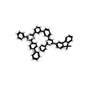 CC1(C)c2ccccc2-c2cc(-c3cc(-c4cccc(-c5cccc(-c6nc(-c7ccccc7)nc(-c7ccc(-c8ccccc8)cc7)n6)c5)c4)nc(-c4ccccc4)n3)ccc21